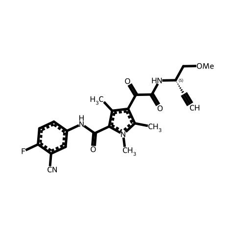 C#C[C@@H](COC)NC(=O)C(=O)c1c(C)c(C(=O)Nc2ccc(F)c(C#N)c2)n(C)c1C